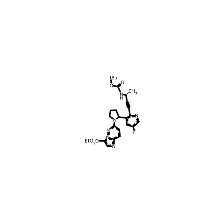 CCOC(=O)c1cnc2ccc(N3CCCC3c3cc(F)cnc3C#C[C@@H](C)NC(=O)OC(C)(C)C)nn12